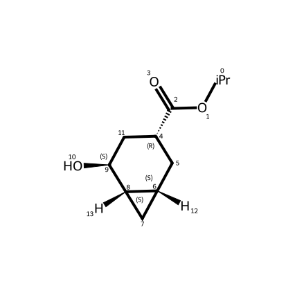 CC(C)OC(=O)[C@@H]1C[C@@H]2C[C@@H]2[C@@H](O)C1